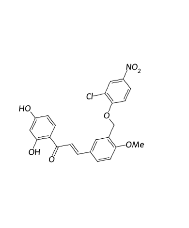 COc1ccc(/C=C/C(=O)c2ccc(O)cc2O)cc1COc1ccc([N+](=O)[O-])cc1Cl